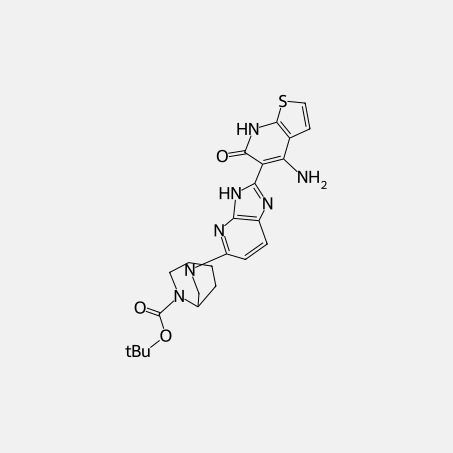 CC(C)(C)OC(=O)N1CC2CCC1CN2c1ccc2nc(-c3c(N)c4ccsc4[nH]c3=O)[nH]c2n1